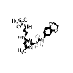 Cc1cc(NCCNS(C)(=O)=O)nc(NC(=O)Nc2ccc3c(c2)OCCO3)n1